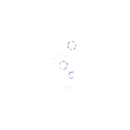 Clc1ccc(Cl)c(CN2CCNc3nnc(-c4noc(CC5CNC5)n4)cc32)c1